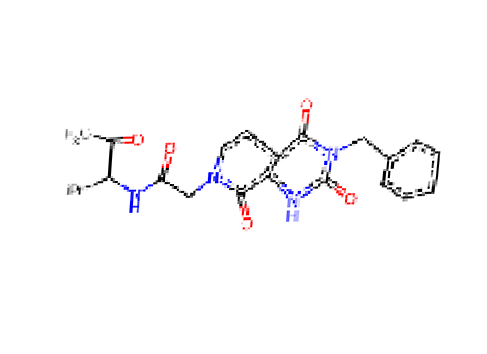 CC(C)C(NC(=O)Cn1ccc2c(=O)n(Cc3ccccc3)c(=O)[nH]c2c1=O)C(=O)C(F)(F)F